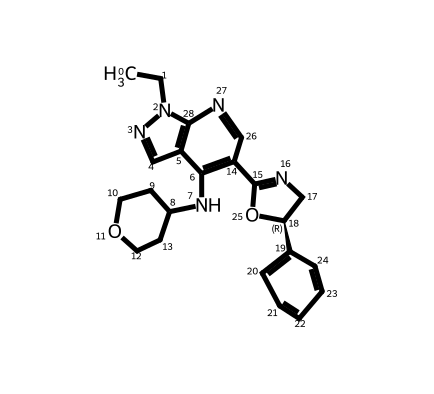 CCn1ncc2c(NC3CCOCC3)c(C3=NC[C@@H](c4ccccc4)O3)cnc21